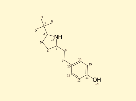 CC(C)(C)C1CCC(CCc2ccc(O)cc2)N1